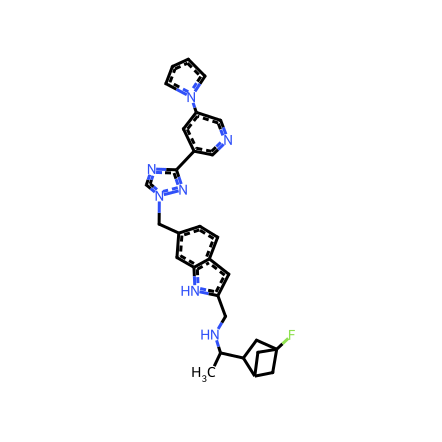 CC(NCc1cc2ccc(Cn3cnc(-c4cncc(-n5cccc5)c4)n3)cc2[nH]1)C1CC2(F)CC1C2